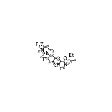 C=C(C)C(CC)Oc1ncccc1Oc1cc(N2C(=C)C=C(C(F)(F)F)N(C)C2=C)c(F)cc1Cl